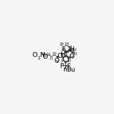 CCCCC(F)(F)c1cc(OC(=O)CCCO[N+](=O)[O-])c2c(c1)OC(C)(C)[C@@H]1CCC(C)C[C@@H]21